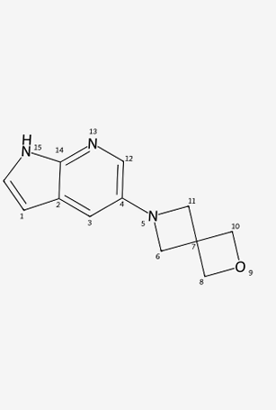 c1cc2cc(N3CC4(COC4)C3)cnc2[nH]1